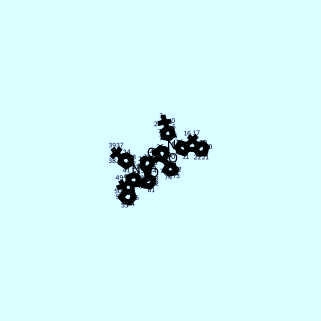 CC(C)(C)c1ccc(N(c2ccc3c(c2)C(C)(C)c2ccccc2-3)c2cc3oc4cc(N(c5ccc(C(C)(C)C)cc5)c5ccc6c(c5)C(C)(C)c5ccccc5-6)c5c6ccccc6oc5c4c3c3c2oc2ccccc23)cc1